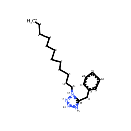 CCCCCCCCCCCCn1nnnc1Cc1ccccc1